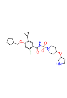 O=C(NS(=O)(=O)N1CCC(OC2CCNC2)CC1)c1cc(C2CC2)c(OCC2CCCC2)cc1F